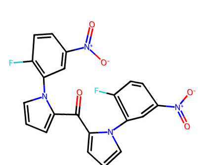 O=C(c1cccn1-c1cc([N+](=O)[O-])ccc1F)c1cccn1-c1cc([N+](=O)[O-])ccc1F